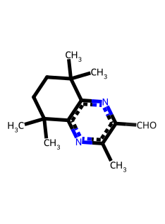 Cc1nc2c(nc1C=O)C(C)(C)CCC2(C)C